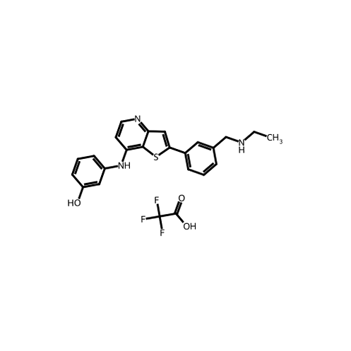 CCNCc1cccc(-c2cc3nccc(Nc4cccc(O)c4)c3s2)c1.O=C(O)C(F)(F)F